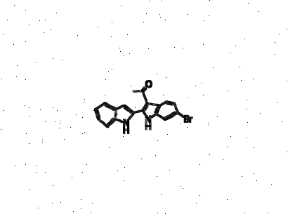 CC(=O)c1c(-c2cc3ccccc3[nH]2)[nH]c2cc(Br)ccc12